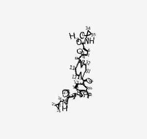 CC1(NC(=O)c2ccc(CN3CCN(C(=O)c4ccc(NC(=O)NCC5CC5)c(F)c4)CC3)o2)CC1